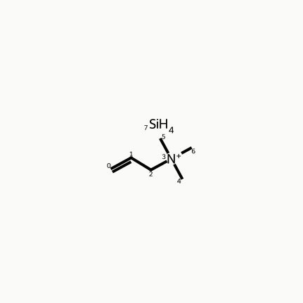 C=CC[N+](C)(C)C.[SiH4]